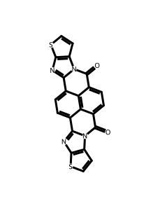 O=c1c2ccc3c(=O)n4c5ccsc5nc4c4ccc(c2c34)c2nc3sccc3n12